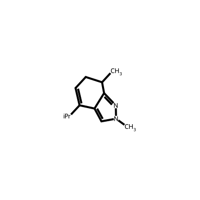 CC(C)C1=CCC(C)c2nn(C)cc21